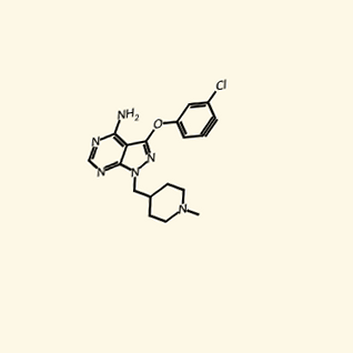 CN1CCC(Cn2nc(Oc3cc#cc(Cl)c3)c3c(N)ncnc32)CC1